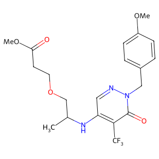 COC(=O)CCOCC(C)Nc1cnn(Cc2ccc(OC)cc2)c(=O)c1C(F)(F)F